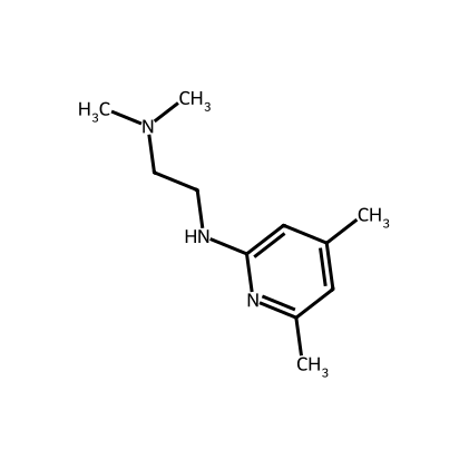 Cc1cc(C)nc(NCCN(C)C)c1